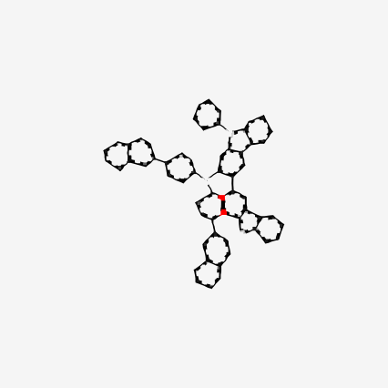 c1ccc(-n2c3ccccc3c3cc(-c4ccc5oc6ccccc6c5c4)c(N(c4ccc(-c5ccc6ccccc6c5)cc4)c4ccc(-c5ccc6ccccc6c5)cc4)cc32)cc1